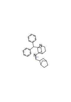 C(=N/C1C2CCN(CC2)C1C(c1ccccc1)c1ccccc1)/C1CC2CCC1C2